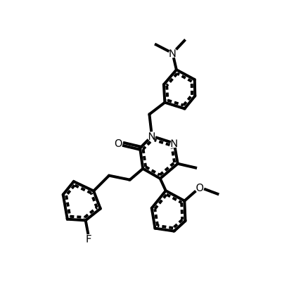 COc1ccccc1-c1c(C)nn(Cc2cccc(N(C)C)c2)c(=O)c1CCc1cccc(F)c1